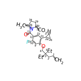 C=CCC(CC)(CC)COc1cc(F)c(C(=O)N2[C@@H](C)CC[C@H]2C(=O)O)cc1C1CC1